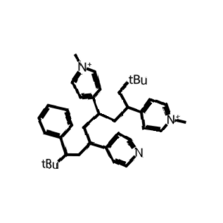 C[n+]1ccc(C(CC(CC(c2ccccc2)C(C)(C)C)c2ccncc2)CC(CC(C)(C)C)c2cc[n+](C)cc2)cc1